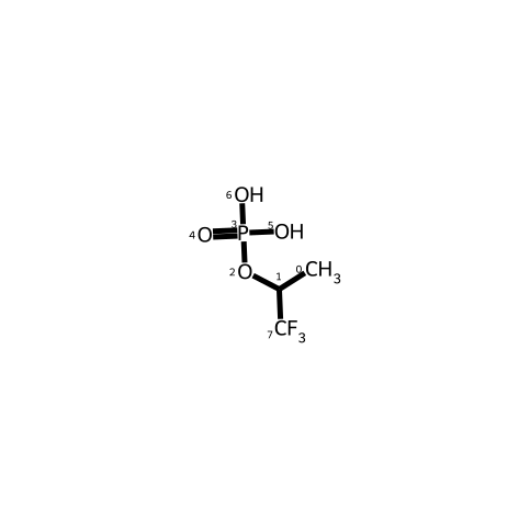 CC(OP(=O)(O)O)C(F)(F)F